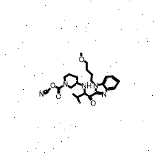 COCCCCn1c(C(=O)C(NC2CCCN(C(=O)OC#N)C2)C(C)C)nc2ccccc21